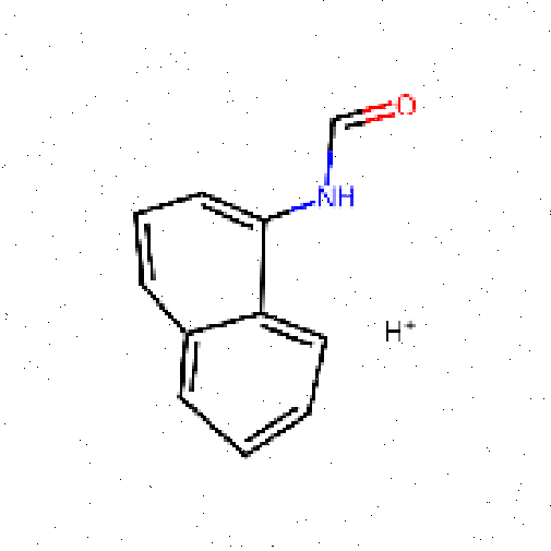 O=CNc1cccc2ccccc12.[H+]